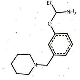 CCC(N)Oc1cccc(CN2CCCCC2)c1